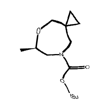 C[C@@H]1CN(C(=O)OC(C)(C)C)CC2(CC2)CO1